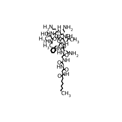 CCCCCCCC(=O)NCC(=O)NCC(=O)NCC(=O)N[C@@H](CCN)C(=O)N[C@H](Cc1ccccc1)C(=O)N[C@@H](CC(C)C)C(=O)N[C@@H](CCN)C(=O)N[C@@H](CCN)C(=O)NC(C(=O)NCC)C(C)O